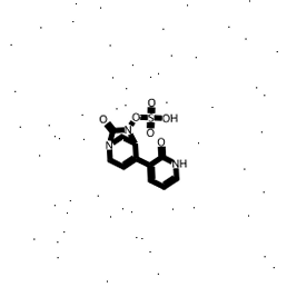 O=C1N2CC=C(c3ccc[nH]c3=O)C(C2)N1OS(=O)(=O)O